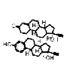 C#C[C@]1(O)CC[C@H]2[C@@H]3CCC4=CC(=O)CC[C@@H]4[C@H]3CC[C@@]21CC.C#C[C@]1(O)CC[C@H]2[C@@H]3CCc4cc(O)ccc4[C@H]3CC[C@@]21C